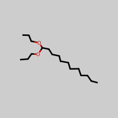 CCCCCCCCCCCC(OCCC)OCCC